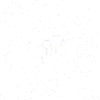 CCCCNC(=O)c1ccc2c3c1C(CC(F)(F)F)CN3CCNC2